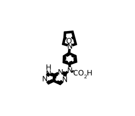 O=C(O)N(c1ccc(N2CC3CCC(C2)O3)cc1)c1ncc2cn[nH]c2n1